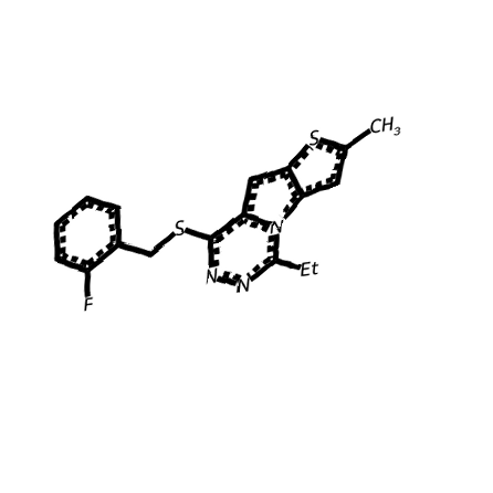 CCc1nnc(SCc2ccccc2F)c2cc3sc(C)cc3n12